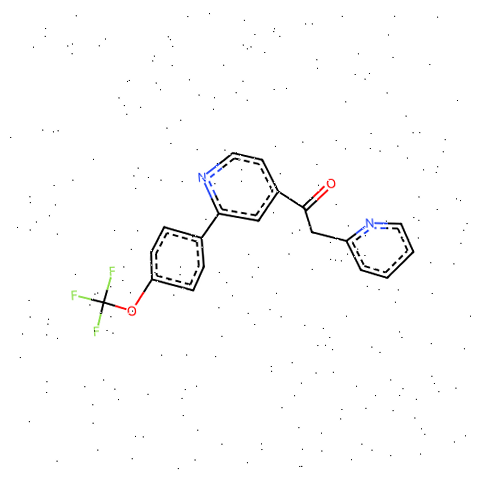 O=C(Cc1ccccn1)c1ccnc(-c2ccc(OC(F)(F)F)cc2)c1